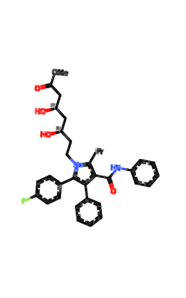 COC(=O)C[C@H](O)C[C@H](O)CCn1c(-c2ccc(F)cc2)c(-c2ccccc2)c(C(=O)Nc2ccccc2)c1C(C)C